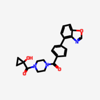 O=C(c1ccc(-c2cccc3ocnc23)cc1)N1CCN(C(=O)C2(O)CC2)CC1